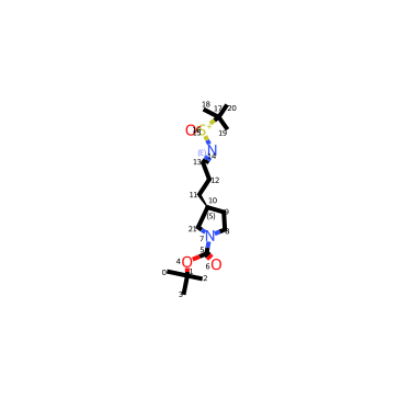 CC(C)(C)OC(=O)N1CC[C@H](CC/C=N/[S+]([O-])C(C)(C)C)C1